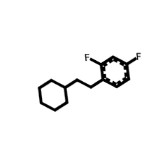 Fc1ccc(CCC2CCCCC2)c(F)c1